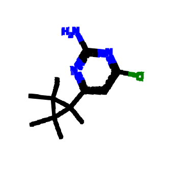 CC1(C)C(C)(C)C1(C)c1cc(Cl)nc(N)n1